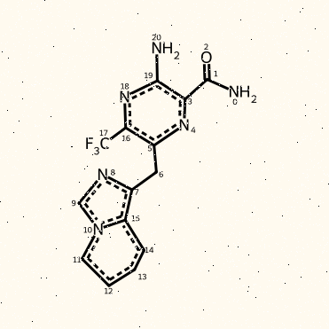 NC(=O)c1nc(Cc2ncn3ccccc23)c(C(F)(F)F)nc1N